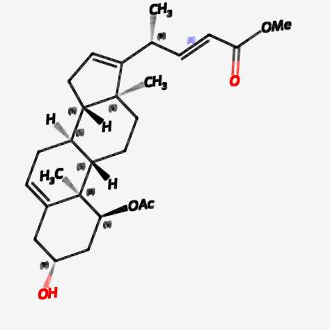 COC(=O)/C=C/[C@@H](C)C1=CC[C@H]2[C@@H]3CC=C4C[C@@H](O)C[C@H](OC(C)=O)[C@]4(C)[C@H]3CC[C@]12C